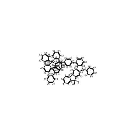 CC1(C)c2ccccc2-c2cc3c4c(-c5ccc(N(c6ccc(-c7ccccc7)cc6)c6cccc7c6C6(c8ccccc8-c8ccccc86)c6ccccc6-7)cc5)cccc4n(-c4ccccc4)c3cc21